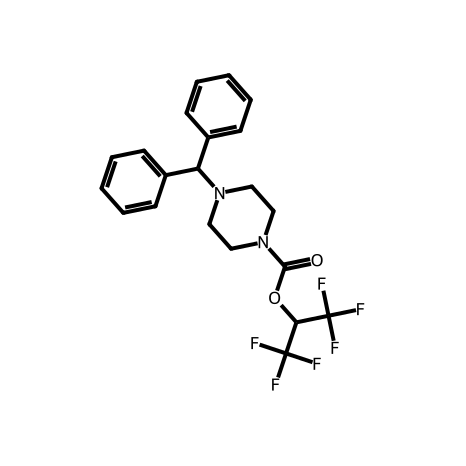 O=C(OC(C(F)(F)F)C(F)(F)F)N1CCN(C(c2ccccc2)c2ccccc2)CC1